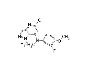 COc1ccc(N(C)c2nc(Cl)nc3cnn(C)c23)cc1F